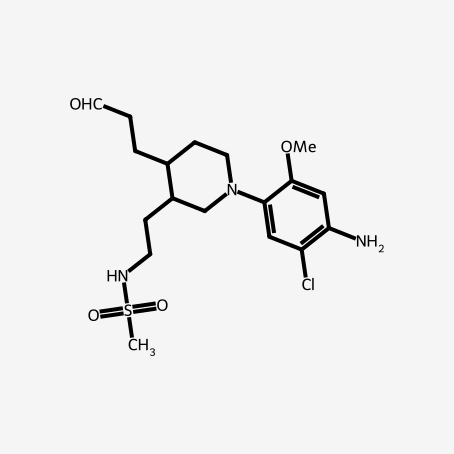 COc1cc(N)c(Cl)cc1N1CCC(CCC=O)C(CCNS(C)(=O)=O)C1